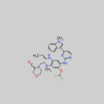 CC=CNc1cc(Nc2nccc(-c3cn(C)c4ccccc34)n2)c(OC(F)F)cc1N(C)CCN1CCOCC1=C=O